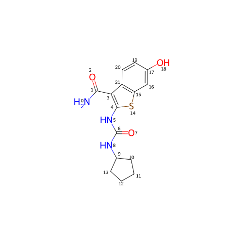 NC(=O)c1c(NC(=O)NC2CCCC2)sc2cc(O)ccc12